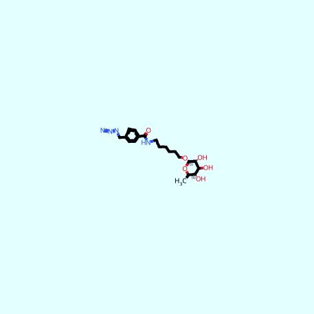 CC1O[C@H](OCCCCCCNC(=O)c2ccc(CN=[N+]=[N-])cc2)[C@H](O)C(O)[C@@H]1O